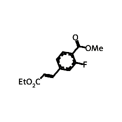 CCOC(=O)C=Cc1ccc(C(=O)OC)c(F)c1